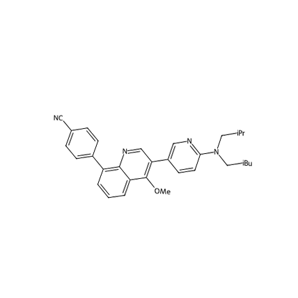 CCC(C)CN(CC(C)C)c1ccc(-c2cnc3c(-c4ccc(C#N)cc4)cccc3c2OC)cn1